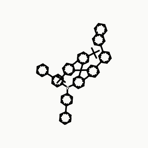 CC(C)(C)c1ccc2c(c1)C1(c3cc(-c4cccc(-c5ccc6ccccc6c5)c4)ccc3-c3ccc(N(c4ccc(-c5ccccc5)cc4)c4ccc(-c5ccccc5)cc4)cc31)c1cc(C(C)(C)C)ccc1-2